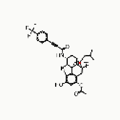 CC(=O)Oc1cc(O)c2c3c1C[C@@H]1[C@@H]4CC[C@@H](NC(=O)C#Cc5ccc(C(F)(F)F)cc5)[C@H](O2)[C@]34CC[N+]1(C)CC(C)C